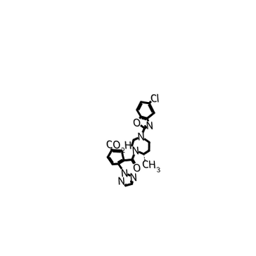 C[C@H]1CCN(c2nc3cc(Cl)ccc3o2)CCN1C(=O)c1cc(C(=O)O)ccc1-n1nccn1